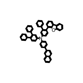 c1ccc(-c2ccc(N(c3ccc(-c4ccc5ccccc5c4)cc3)c3ccc(-c4cccc5c4oc4ccccc45)c(-c4ccccc4)c3)cc2-c2ccccc2)cc1